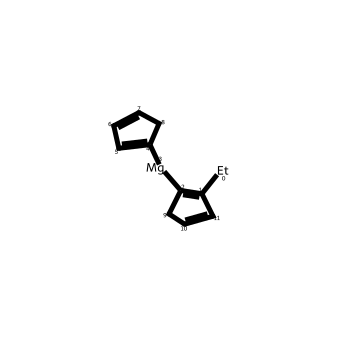 CCC1=[C]([Mg][C]2=CC=CC2)CC=C1